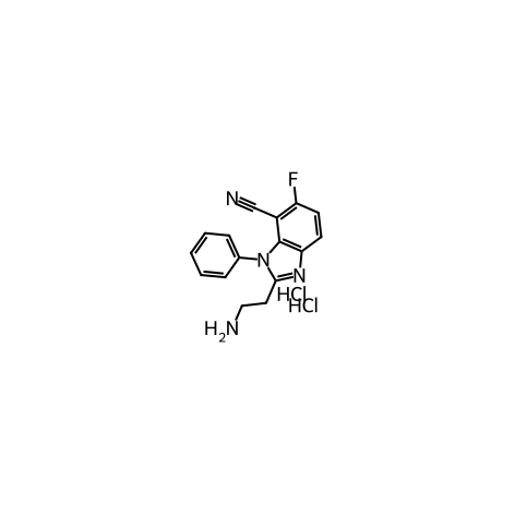 Cl.Cl.N#Cc1c(F)ccc2nc(CCN)n(-c3ccccc3)c12